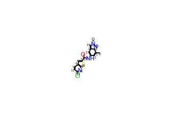 Cc1cc(NC(=O)c2cc3ccc(Cl)nc3s2)cc2cn(C)nc12